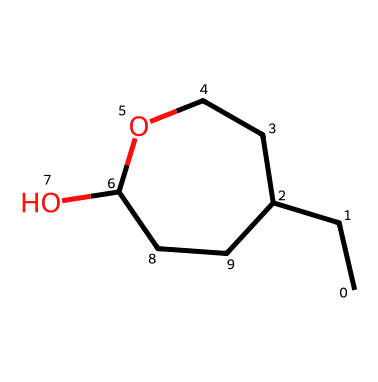 CCC1CCOC(O)CC1